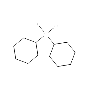 CC[Si]([O])(C1CCCCC1)C1CCCCC1